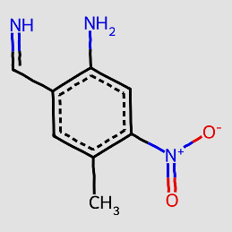 Cc1cc(C=N)c(N)cc1[N+](=O)[O-]